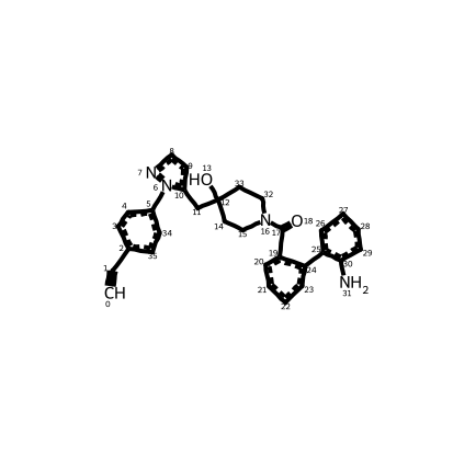 C#Cc1ccc(-n2nccc2CC2(O)CCN(C(=O)c3ccccc3-c3ccccc3N)CC2)cc1